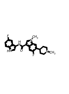 CN1CCC(c2cc3c(cc2F)c(C(=O)Nc2c[nH]c4ccc(F)cc24)cn3C)CC1